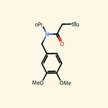 CCCN(Cc1ccc(OC)c(OC)c1)C(=O)CC(C)(C)C